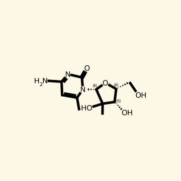 Cc1cc(N)nc(=O)n1[C@@H]1O[C@H](CO)[C@H](O)C1(C)O